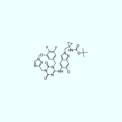 Cn1cnc(Cn2c(=O)nc(Nc3cc4cn(CC5(NC(=O)OC(C)(C)C)CC5)nc4cc3Cl)n(Cc3cc(F)c(F)c(Cl)c3)c2=O)n1